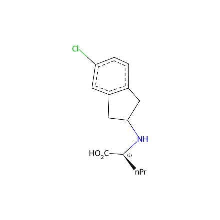 CCC[C@H](NC1Cc2ccc(Cl)cc2C1)C(=O)O